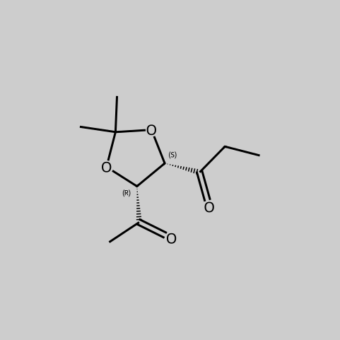 CCC(=O)[C@H]1OC(C)(C)O[C@H]1C(C)=O